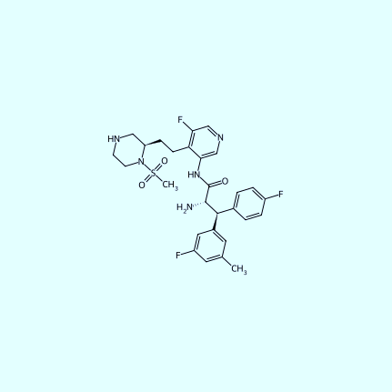 Cc1cc(F)cc([C@H](c2ccc(F)cc2)[C@H](N)C(=O)Nc2cncc(F)c2CC[C@@H]2CNCCN2S(C)(=O)=O)c1